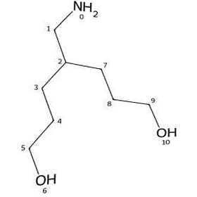 NCC(CCCO)CCCO